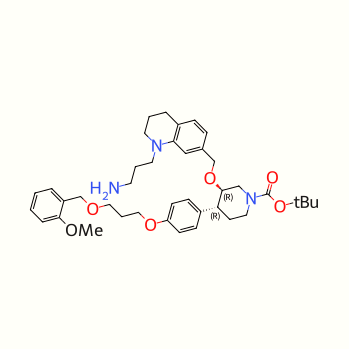 COc1ccccc1COCCCOc1ccc([C@H]2CCN(C(=O)OC(C)(C)C)C[C@@H]2OCc2ccc3c(c2)N(CCCN)CCC3)cc1